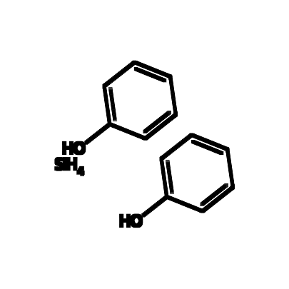 Oc1ccccc1.Oc1ccccc1.[SiH4]